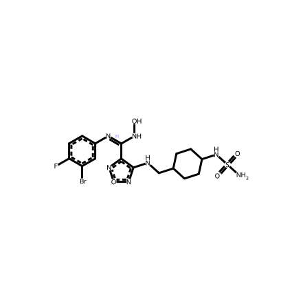 NS(=O)(=O)NC1CCC(CNc2nonc2/C(=N\c2ccc(F)c(Br)c2)NO)CC1